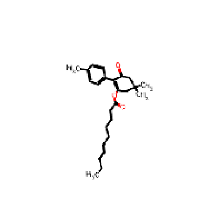 CCCCCCCCCC(=O)OC1=C(c2ccc(C)cc2)C(=O)CC(C)(C)C1